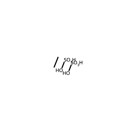 CC.O=S(=O)(O)O.O=S(=O)(O)O